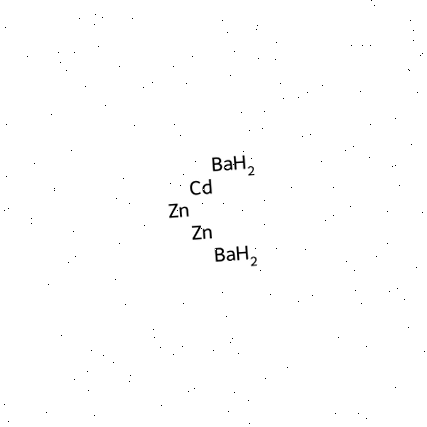 [BaH2].[BaH2].[Cd].[Zn].[Zn]